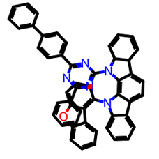 C1=CC2c3ccc4c5ccccc5n(-c5cccc6oc7ccccc7c56)c4c3N(c3nc(-c4ccccc4)nc(-c4ccc(-c5ccccc5)cc4)n3)C2C=C1